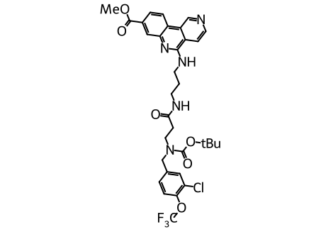 COC(=O)c1ccc2c(c1)nc(NCCCNC(=O)CCN(Cc1ccc(OC(F)(F)F)c(Cl)c1)C(=O)OC(C)(C)C)c1ccncc12